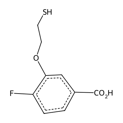 O=C(O)c1ccc(F)c(OCCS)c1